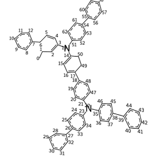 CC/C=C(\C=C/Cc1ccccc1)N(C1=CC=C(c2ccc(N(c3ccc(-c4ccccc4)cc3)c3ccc(-c4ccccc4)cc3)cc2)CC1)c1ccc(-c2ccccc2)cc1